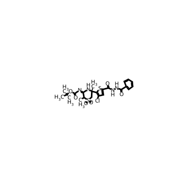 CC1/C(=N\C(=O)OC(C)(C)C)N[C@](C)(c2sc(C(=O)NNC(=O)c3ccccc3)cc2Cl)CS1(=O)=O